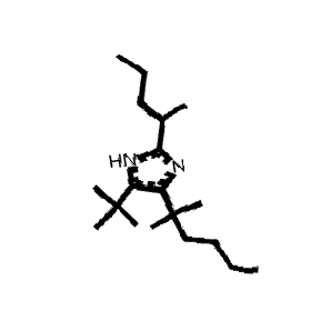 CCCCC(C)(C)c1nc(C(C)CCC)[nH]c1C(C)(C)C